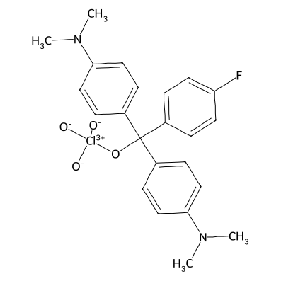 CN(C)c1ccc(C(O[Cl+3]([O-])([O-])[O-])(c2ccc(F)cc2)c2ccc(N(C)C)cc2)cc1